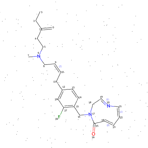 C=C(CC)CCN(C)C/C=C\Cc1ccc(CN2C/C=N/C=C\C=C\C2=O)c(F)c1